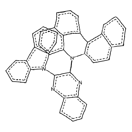 c1ccc2c3c(ccc2c1)N(c1nc2ccccc2nc1-n1c2ccccc2c2ccccc21)c1cccc2cccc-3c12